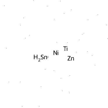 [Ni].[SnH2].[Ti].[Zn]